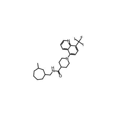 CC1CCCCC(CNC(=O)C2CCN(c3ccc(C(F)(I)I)c4ncccc34)CC2)C1